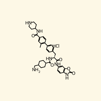 Cc1cc(C(=O)NC2CCNCC2)ccc1-c1ccc(C[C@H](NC(=O)C2CCC(CN)CC2)C(=O)Nc2ccc3[nH]c(=O)oc3c2)cc1.Cl